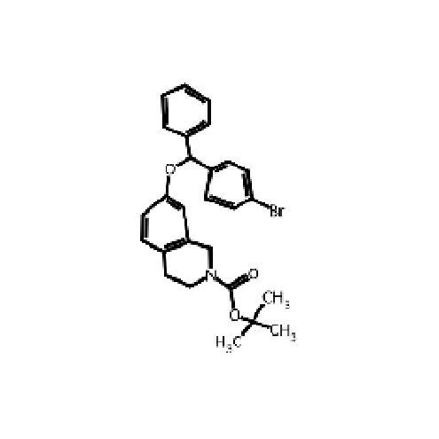 CC(C)(C)OC(=O)N1CCc2ccc(OC(c3ccccc3)c3ccc(Br)cc3)cc2C1